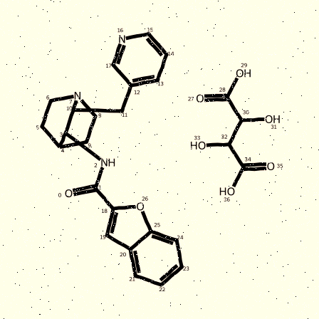 O=C(NC1C2CCN(CC2)C1Cc1cccnc1)c1cc2ccccc2o1.O=C(O)C(O)C(O)C(=O)O